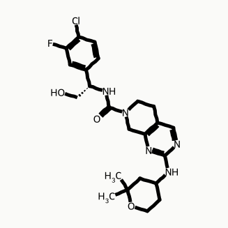 CC1(C)CC(Nc2ncc3c(n2)CN(C(=O)N[C@H](CO)c2ccc(Cl)c(F)c2)CC3)CCO1